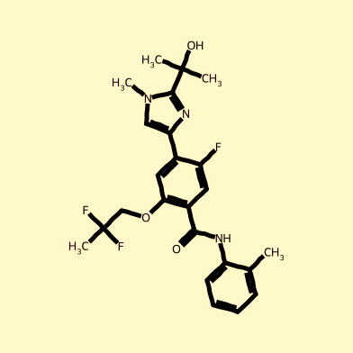 Cc1ccccc1NC(=O)c1cc(F)c(-c2cn(C)c(C(C)(C)O)n2)cc1OCC(C)(F)F